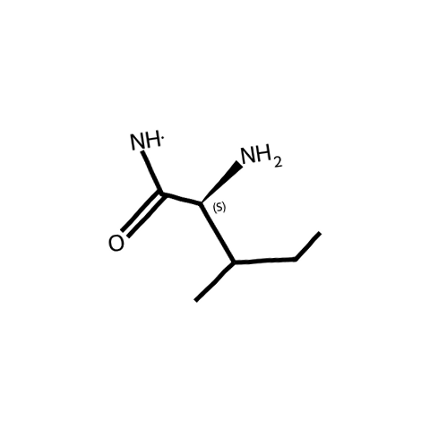 CCC(C)[C@H](N)C([NH])=O